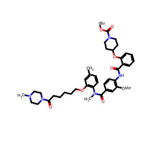 COc1cc(C(=O)N(C)c2ccc(C)cc2OCCCCCC(=O)N2CCN(C)CC2)ccc1NC(=O)c1ccccc1OC1CCN(C(=O)OC(C)(C)C)CC1